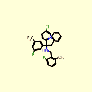 Fc1cc(C(F)(F)F)cc(C(Cc2ccccc2)(NCc2c(F)cccc2C(F)(F)F)c2ccc(Cl)cn2)c1